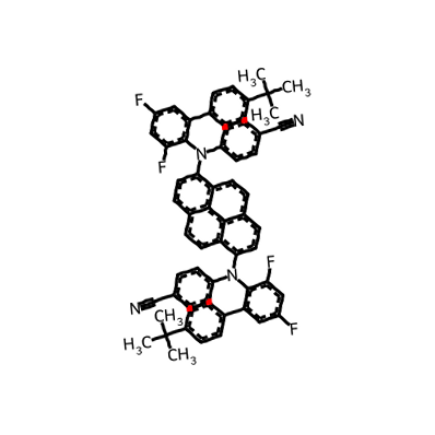 CC(C)(C)c1ccc(-c2cc(F)cc(F)c2N(c2ccc(C#N)cc2)c2ccc3ccc4c(N(c5ccc(C#N)cc5)c5c(F)cc(F)cc5-c5ccc(C(C)(C)C)cc5)ccc5ccc2c3c54)cc1